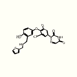 O=c1cnn(-c2cc(Cl)c(Oc3ccc(O)c(CNCc4cccs4)c3)c(Cl)c2)c(=O)[nH]1